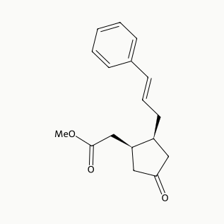 COC(=O)C[C@@H]1CC(=O)C[C@@H]1CC=Cc1ccccc1